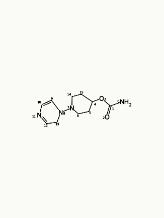 NC(=O)OC1CCN(N2C=CN=CC2)CC1